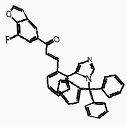 O=C(C=Cc1ccccc1-c1cncn1C(c1ccccc1)(c1ccccc1)c1ccccc1)c1cc(F)c2occc2c1